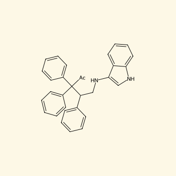 CC(=O)C(c1ccccc1)(c1ccccc1)C(CNc1c[nH]c2ccccc12)c1ccccc1